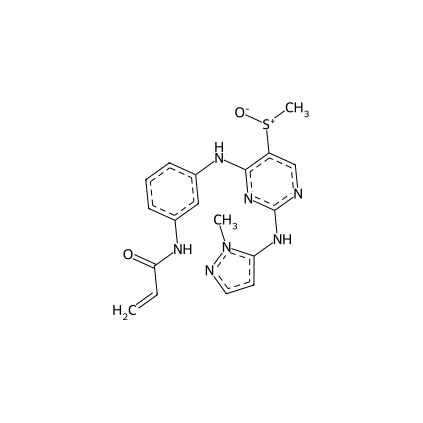 C=CC(=O)Nc1cccc(Nc2nc(Nc3ccnn3C)ncc2[S+](C)[O-])c1